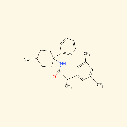 C[C@H](C(=O)NC1(c2ccccc2)CCC(C#N)CC1)c1cc(C(F)(F)F)cc(C(F)(F)F)c1